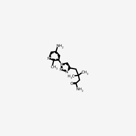 Cc1ncc(N)cc1-n1cc(CC(C)(C)CC(N)=O)nn1